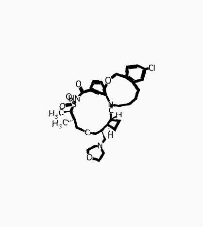 C[C@@H]1[C@@H](C)CCC[C@H](CN2CCOCC2)[C@@H]2CC[C@H]2CN2CCCCc3cc(Cl)ccc3COc3ccc(cc32)C(=O)NS1(=O)=O